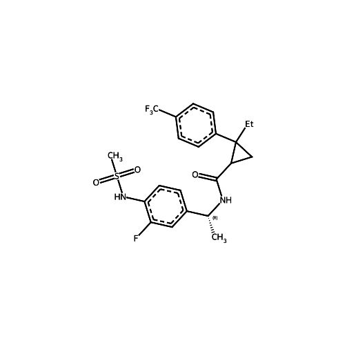 CCC1(c2ccc(C(F)(F)F)cc2)CC1C(=O)N[C@H](C)c1ccc(NS(C)(=O)=O)c(F)c1